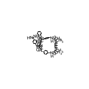 CC1(C)C(=O)Nc2ccc(cc2)C[C@@H](C(=O)NCc2ccc(C(=N)N)cc2)NC(=O)[C@H](NS(=O)(=O)Cc2ccccc2)Cc2ccc(cc2)NC(=O)C(C)(C)N2CCN1CC2